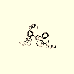 CC(C)(C)OC(=O)N1CCC[C@@]2(C[C@@H](c3cc(OC(F)(F)F)ccc3OS(=O)(=O)C(F)(F)F)CO2)[C@@H]1c1ccccc1